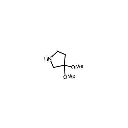 COC1(OC)C[CH]NC1